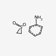 Nc1ccccc1.O=S1(=O)CC1